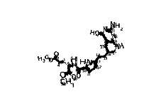 COC(=O)CC[C@H](NC(=O)c1ccc(CCC2CNc3nc(N)nc(O)c3C2)[nH]1)C(=O)OC